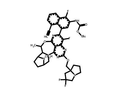 C#Cc1cccc2c(F)c(NC(=O)OC(C)(C)C)cc(-c3nc4c5c(nc(OCC67CCCN6CC(F)(F)C7)nc5c3F)N3CC5CCC(C3C(C)O4)N5C(=O)O)c12